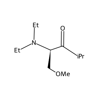 CCN(CC)[C@H](COC)C(=O)C(C)C